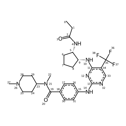 CCC(=O)N[C@H]1CCC[C@H]1Nc1nc(Nc2ccc(C(=O)N(C)C3CCN(C)CC3)cc2)ncc1C(F)(F)F